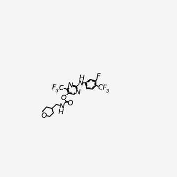 O=C(NCC1CCOCC1)Oc1cnc(Nc2ccc(C(F)(F)F)c(F)c2)nc1C(F)(F)F